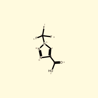 O=C(O)c1cn(C(F)(F)F)nn1